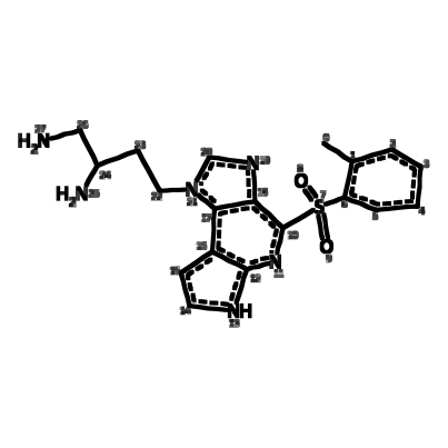 Cc1ccccc1S(=O)(=O)c1nc2[nH]ccc2c2c1ncn2CCC(N)CN